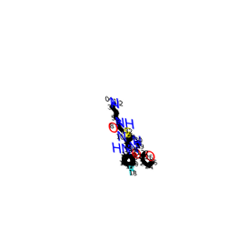 CN(C)CCCNC(=O)c1nc2c(Nc3ccc(F)cc3OC3CCCOC3)ncnc2s1